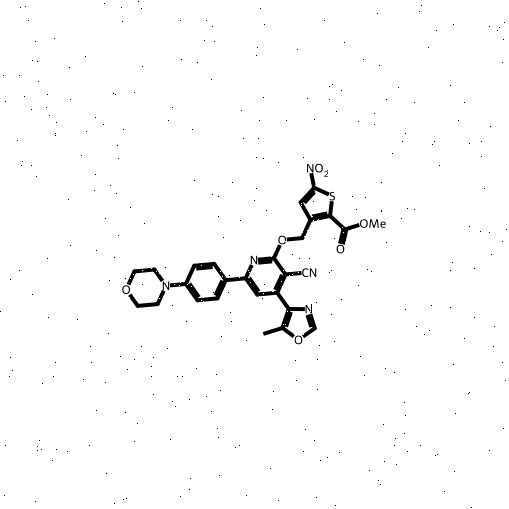 COC(=O)c1sc([N+](=O)[O-])cc1COc1nc(-c2ccc(N3CCOCC3)cc2)cc(-c2ncoc2C)c1C#N